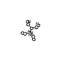 c1ccc2cc(-c3nc(-c4cc(-c5ccc6cccnc6c5)cc(-c5ccc6cccnc6c5)c4)nc(-c4ccc5ccccc5c4)n3)ccc2c1